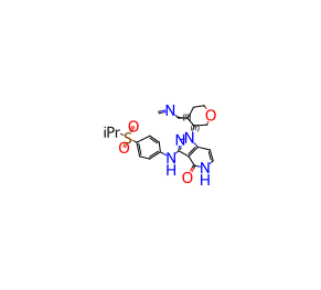 C=NC[C@H]1CCOC[C@@H]1n1nc(Nc2ccc(S(=O)(=O)C(C)C)cc2)c2c(=O)[nH]ccc21